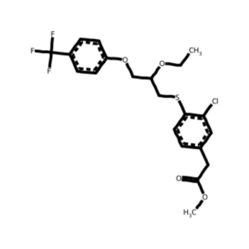 CCOC(COc1ccc(C(F)(F)F)cc1)CSc1ccc(CC(=O)OC)cc1Cl